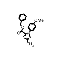 COc1ccc(-n2nc(C)nc2C(=O)OCc2ccccc2)cc1